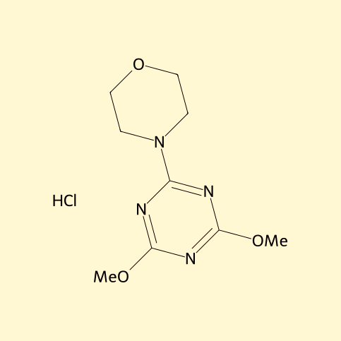 COc1nc(OC)nc(N2CCOCC2)n1.Cl